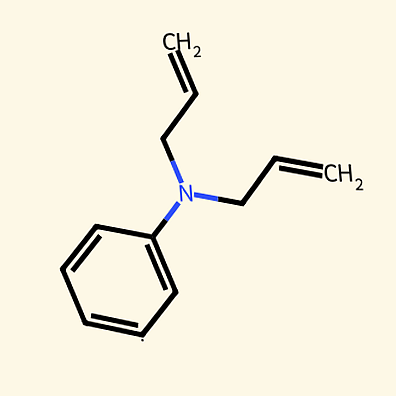 C=CCN(CC=C)c1c[c]ccc1